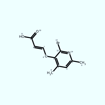 Cc1cc(C)c(O/C=C/C(=O)O)c(Br)n1